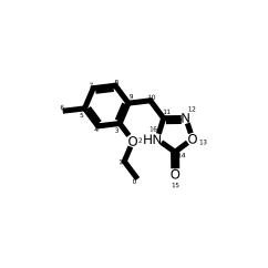 CCOc1cc(C)ccc1Cc1noc(=O)[nH]1